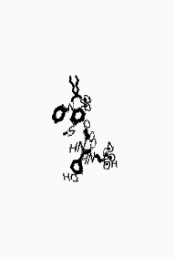 CCCCC1(CCCC)CN(c2ccccc2)c2cc(SC)c(OCC(=O)N[C@@H](C(=O)NCCP(=O)(O)OOC)c3ccc(O)cc3)cc2S(=O)(=O)C1